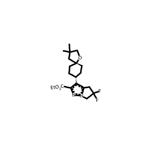 CCOC(=O)c1nn2c(c1[C@H]1CC[C@@]3(CC1)CC(C)(C)CO3)CC(F)(F)C2